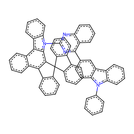 c1ccc(-n2c3ccccc3c3cc(-c4nc(-n5c6ccccc6c6c7ccccc7c7c(c65)C5(c6ccccc6-c6ccccc65)c5ccccc5-7)nc5ccccc45)ccc32)cc1